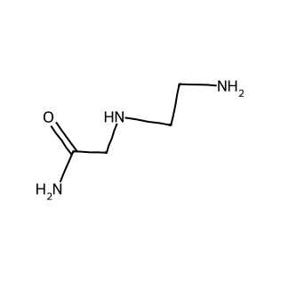 NCCNCC(N)=O